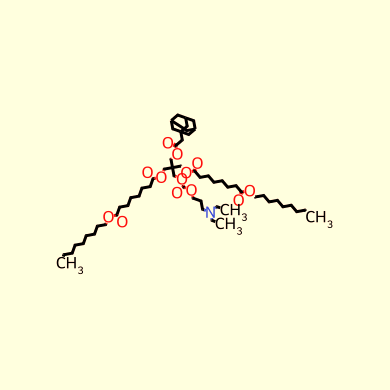 CCCCCCCCCOC(=O)CCCCCCC(=O)OCC(COC(=O)CCCCCCC(=O)OCCCCCCCCC)(COC(=O)CC12CC3CC(CC(C3)C1)C2)COC(=O)OCCCN(CC)CC